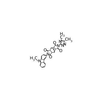 CCn1c2ccccc2c2cc(N3C(=O)C4C5C=CC(C4C3=O)C3C(=O)N(c4nnc(C)c(C)n4)C(=O)C53)ccc21